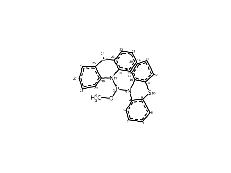 COP(N1c2ccccc2Sc2ccccc21)N1c2ccccc2Sc2ccccc21